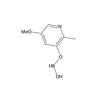 COc1cnc(C)c(OBO)c1